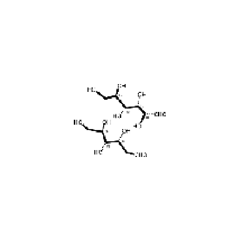 O=CC[C@@H](O)[C@H](O)[C@H](O)CO.O=C[C@H](O)[C@@H](O)[C@H](O)[C@H](O)CO